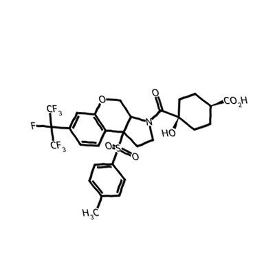 Cc1ccc(S(=O)(=O)C23CCN(C(=O)[C@]4(O)CC[C@@H](C(=O)O)CC4)C2COc2cc(C(F)(C(F)(F)F)C(F)(F)F)ccc23)cc1